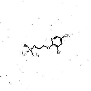 CC(C)(C)[Si](C)(C)OCCOc1ncc(C(F)(F)F)cc1Br